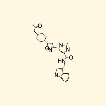 CC(=O)C[C@H]1CC[C@H](C2CC(c3cc(C(=O)NCc4ccnc5ccccc45)nc(C)n3)=NO2)CC1